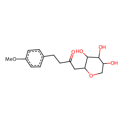 COc1ccc(CCC(=O)CC2OCC(O)C(O)C2O)cc1